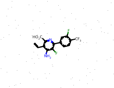 C=Cc1c(C(=O)O)nc(-c2ccc(C(F)(F)F)c(F)c2)c(F)c1N